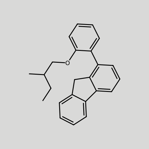 CCC(C)COc1ccccc1-c1cccc2c1Cc1ccccc1-2